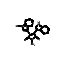 CCn1cc(C2=C(c3c[nH]c4ccccc34)C(=O)N(N)C2=O)c2ccccc21